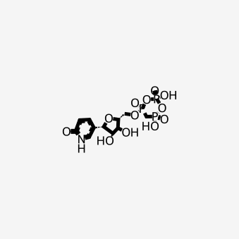 O=c1ccc([C@@H]2O[C@H](COP3(=O)CP(=O)(O)OP(=O)(O)O3)C(O)[C@@H]2O)c[nH]1